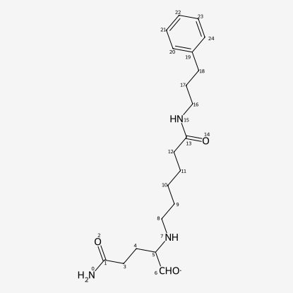 NC(=O)CCC([C]=O)NCCCCCC(=O)NCCCc1ccccc1